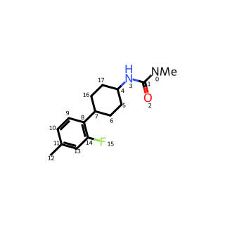 CNC(=O)NC1CCC(c2ccc(C)cc2F)CC1